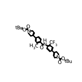 Cc1cc(C2=CCN(C(=O)OC(C)(C)C)CC2)ccc1C(=O)Nc1ccc(C2=CCN(C(=O)OC(C)(C)C)CC2)cc1C(F)(F)F